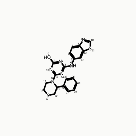 Oc1nc(Nc2ccc3ncsc3c2)nc(N2CCSCC2c2ccccc2)n1